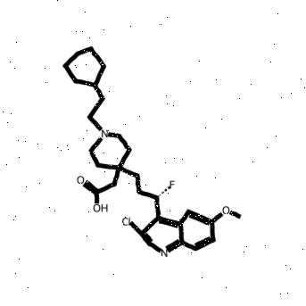 COc1ccc2ncc(Cl)c([C@@H](F)CCC3(CC(=O)O)CCN(CCC4CCCCC4)CC3)c2c1